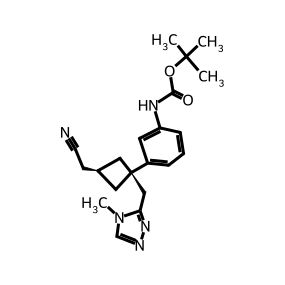 Cn1cnnc1C[C@]1(c2cccc(NC(=O)OC(C)(C)C)c2)C[C@H](CC#N)C1